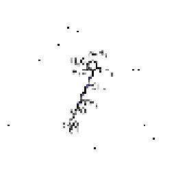 COc1cc(C)c(/C=C/C(C)=C/C=C/C(C)=C/C(=O)OCCS(C)(=O)=O)c(C)c1C